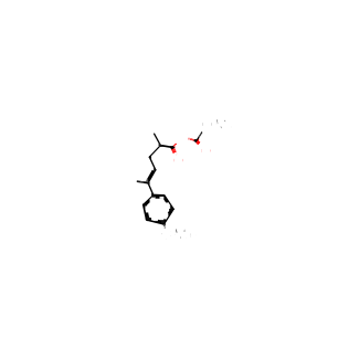 CC/C(=C\CC(C)C(=O)OC(=O)OC)c1ccc(OC)cc1